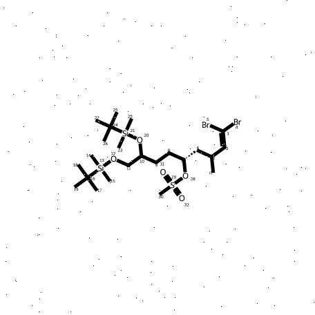 CC(C=C(Br)Br)C[C@@H](CCC(CO[Si](C)(C)C(C)(C)C)O[Si](C)(C)C(C)(C)C)OS(C)(=O)=O